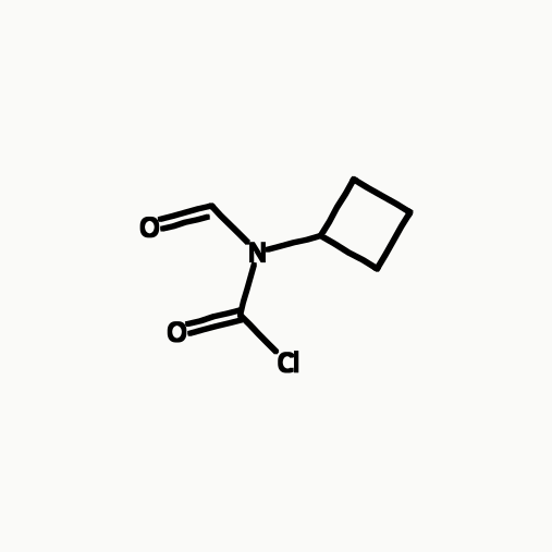 O=CN(C(=O)Cl)C1CCC1